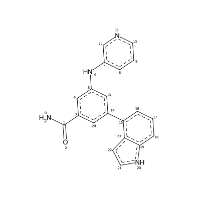 NC(=O)c1cc(Nc2cccnc2)cc(-c2cccc3[nH]ccc23)c1